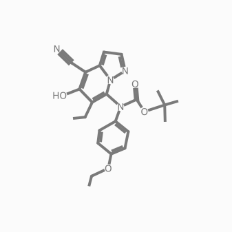 CCOc1ccc(N(C(=O)OC(C)(C)C)c2c(CC)c(O)c(C#N)c3ccnn23)cc1